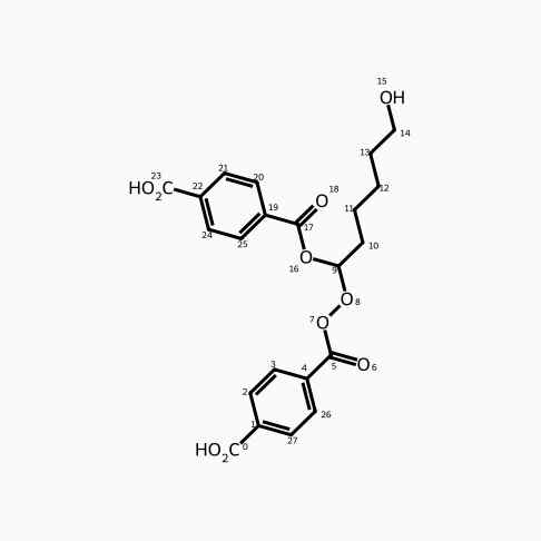 O=C(O)c1ccc(C(=O)OOC(CCCCCO)OC(=O)c2ccc(C(=O)O)cc2)cc1